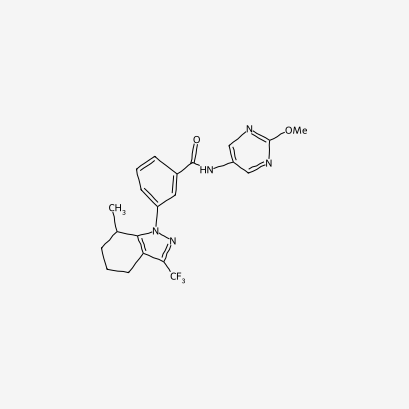 COc1ncc(NC(=O)c2cccc(-n3nc(C(F)(F)F)c4c3C(C)CCC4)c2)cn1